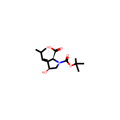 CC(C)/C=C1/[C@H](O)CN(C(=O)OC(C)(C)C)[C@@H]1C(=O)O